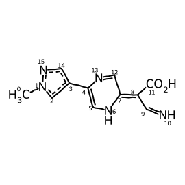 Cn1cc(C2=CN/C(=C(\C=N)C(=O)O)C=N2)cn1